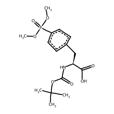 COP(=O)(OC)c1ccc(C[C@H](NC(=O)OC(C)(C)C)C(=O)O)cc1